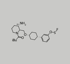 CCC(C)C(=O)N1CCC[C@H](N)C1CO[C@H]1CC[C@@H](c2cccc(OSF)c2)CC1